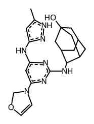 Cc1cc(Nc2cc(N3C=COC3)nc(NC3C4CC5CC3CC(O)(C5)C4)n2)n[nH]1